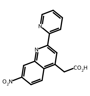 O=C(O)Cc1cc(-c2ccccn2)nc2cc([N+](=O)[O-])ccc12